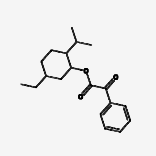 CCC1CCC(C(C)C)C(OC(=O)C(=O)c2ccccc2)C1